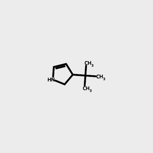 CC(C)(C)C1C=CNC1